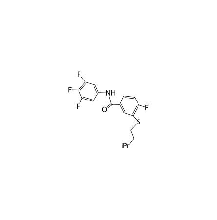 CC(C)CCSc1cc(C(=O)Nc2cc(F)c(F)c(F)c2)ccc1F